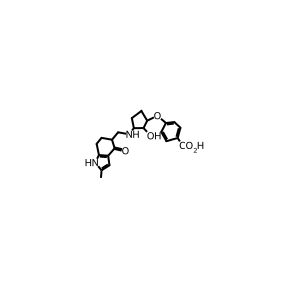 Cc1cc2c([nH]1)CCC(CNC1CCC(Oc3ccc(C(=O)O)cc3)C1O)C2=O